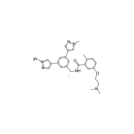 Cc1ccc(OCCN(C)C)cc1C(=O)N[C@H](C)c1cc(-c2cnn(C)c2)cc(-c2cnn(C(C)C)c2)c1